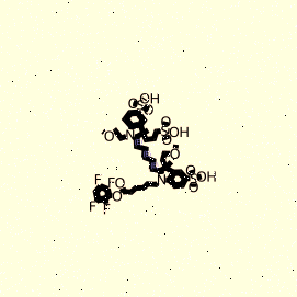 COCCN1/C(=C/C=C/C=C/C2=[N+](CCCCCC(=O)Oc3c(F)c(F)cc(F)c3F)c3ccc(S(=O)(=O)O)cc3C2(C)CCOC)C(C)(CCCS(=O)(=O)O)c2cc(S(=O)(=O)O)ccc21